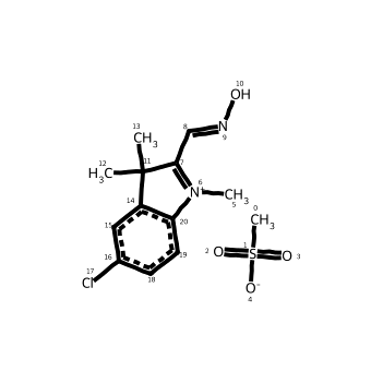 CS(=O)(=O)[O-].C[N+]1=C(C=NO)C(C)(C)c2cc(Cl)ccc21